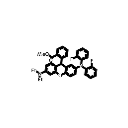 CCN(CC)c1ccc2c(c1)Oc1ccc(N(c3ccccc3F)c3ccccc3F)cc1C2c1ccccc1C(=O)OC